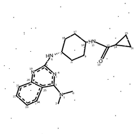 CN(C)c1nc(N[C@H]2CC[C@@H](NC(=O)C3CC3)CC2)nc2ccccc12